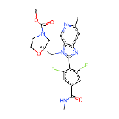 CNC(=O)c1cc(F)c(-c2nc3cc(C)ncc3n2C[C@H]2CN(C(=O)OC)CCO2)c(F)c1